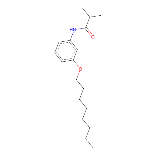 CCCCCCCCOc1cccc(NC(=O)C(C)C)c1